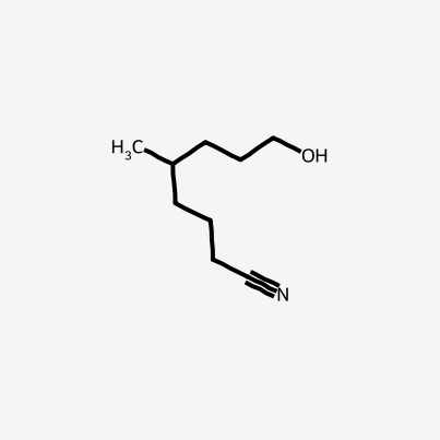 CC(CCCO)CCCC#N